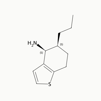 CCC[C@H]1CCc2sccc2[C@H]1N